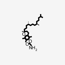 Cc1c(C)c2c(c(C)c1OC(=O)CN)CC[C@@](C)(CCC[C@H](C)CCC[C@H](C)CCCC(C)C)O2